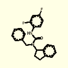 O=C(Nc1ccc(F)cc1F)N(Cc1ccccc1)C1CCc2ccccc21